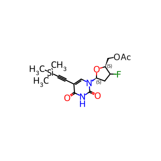 CC(=O)OC[C@@H]1O[C@H](n2cc(C#C[Si](C)(C)C)c(=O)[nH]c2=O)CC1F